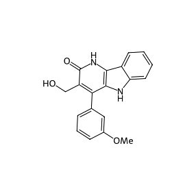 COc1cccc(-c2c(CO)c(=O)[nH]c3c2[nH]c2ccccc23)c1